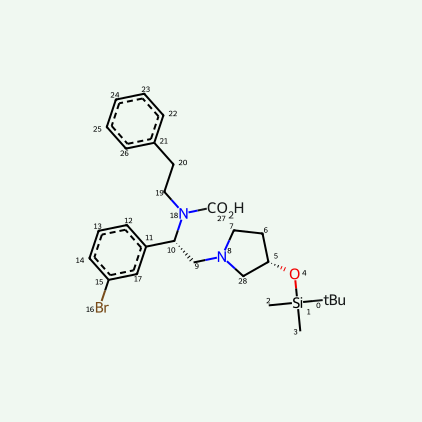 CC(C)(C)[Si](C)(C)O[C@H]1CCN(C[C@H](c2cccc(Br)c2)N(CCc2ccccc2)C(=O)O)C1